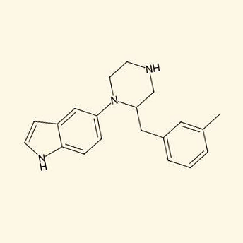 Cc1cccc(CC2CNCCN2c2ccc3[nH]ccc3c2)c1